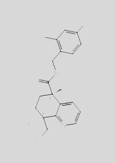 O=C(NCc1ccc(Cl)cc1Cl)[C@@]1(F)CC[C@](O)(CO)c2ncccc21